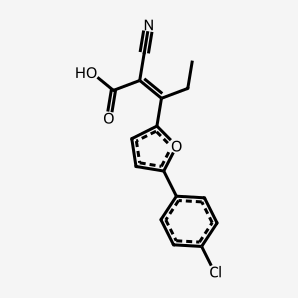 CCC(=C(C#N)C(=O)O)c1ccc(-c2ccc(Cl)cc2)o1